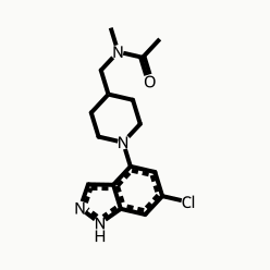 CC(=O)N(C)CC1CCN(c2cc(Cl)cc3[nH]ncc23)CC1